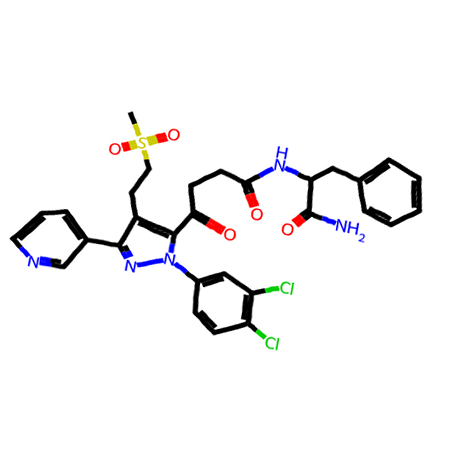 CS(=O)(=O)CCc1c(-c2cccnc2)nn(-c2ccc(Cl)c(Cl)c2)c1C(=O)CCC(=O)NC(Cc1ccccc1)C(N)=O